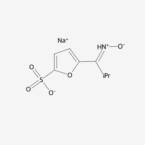 CC(C)C(=[NH+][O-])c1ccc(S(=O)(=O)[O-])o1.[Na+]